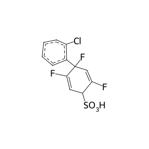 O=S(=O)(O)C1C=C(F)C(F)(c2ccccc2Cl)C=C1F